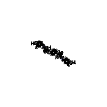 Cc1cc(/C=N/NC(=O)COc2ccc(OCC(=O)N/N=C/c3ccc(O)c(C)c3)cc2)ccc1O